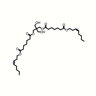 CCCC/C=C\CCOC(=O)CCCCCC(=O)OCC(CO)(CO)COC(=O)CCCCCC(=O)OCC/C=C\CCCC